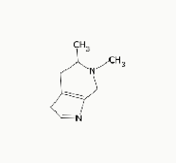 CC1CC2=C(CN1C)N=CC2